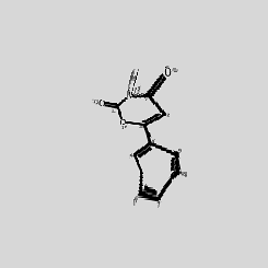 O=c1cc(-c2ccccc2)oc(=O)[nH]1